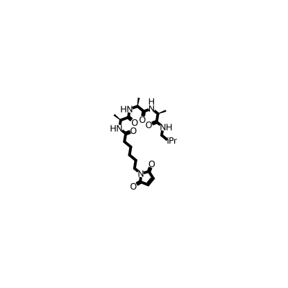 CC(C)CNC(=O)[C@H](C)NC(=O)[C@H](C)NC(=O)[C@H](C)NC(=O)CCCCCN1C(=O)C=CC1=O